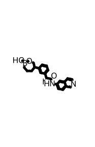 O=C(Nc1ccc2cnccc2c1)[C@H](I)c1cccc(C2CCCB(O)OC2)c1